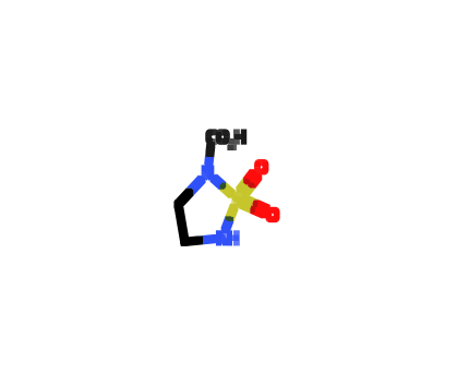 O=C(O)N1CCNS1(=O)=O